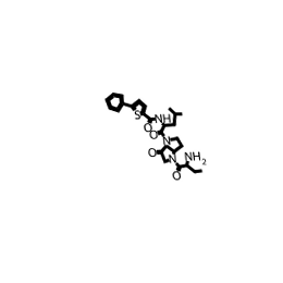 CCC(N)C(=O)N1CC(=O)C2C1CCN2C(=O)C(CC(C)C)NC(=O)c1ccc(-c2ccccc2)s1